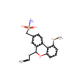 C=CCC1Oc2cccc(SC)c2-c2ccc(CS(N)(=O)=O)cc21